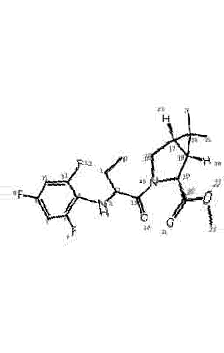 CCC(Nc1c(F)cc(F)cc1F)C(=O)N1C[C@H]2[C@@H]([C@H]1C(=O)OC)C2(C)C